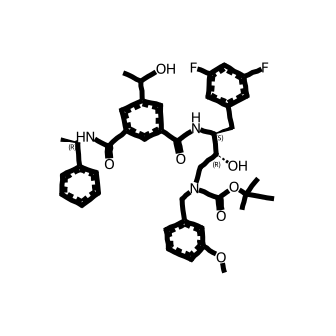 COc1cccc(CN(C[C@@H](O)[C@H](Cc2cc(F)cc(F)c2)NC(=O)c2cc(C(=O)N[C@H](C)c3ccccc3)cc(C(C)O)c2)C(=O)OC(C)(C)C)c1